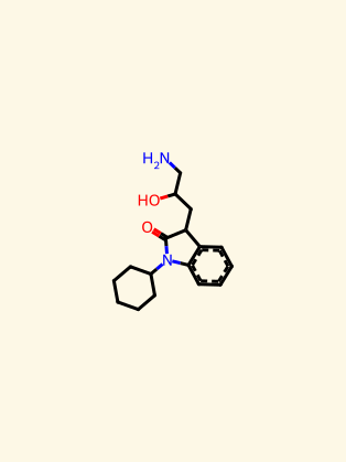 NCC(O)CC1C(=O)N(C2CCCCC2)c2ccccc21